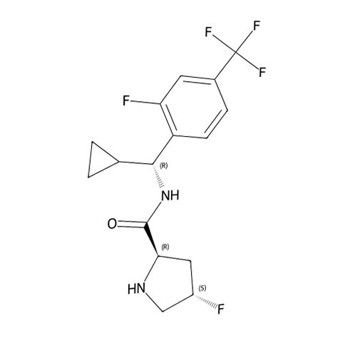 O=C(N[C@@H](c1ccc(C(F)(F)F)cc1F)C1CC1)[C@H]1C[C@H](F)CN1